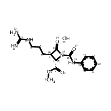 COC(=O)[C@@H]1[C@@H](CCCNC(=N)N)C(=O)N1C(=O)Nc1ccccc1.Cl